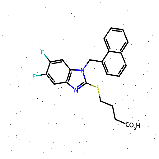 O=C(O)CCCSc1nc2cc(F)c(F)cc2n1Cc1cccc2ccccc12